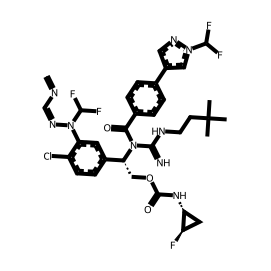 C=N/C=N\N(c1cc([C@@H](COC(=O)N[C@@H]2C[C@H]2F)N(C(=N)NCCC(C)(C)C)C(=O)c2ccc(-c3cnn(C(F)F)c3)cc2)ccc1Cl)C(F)F